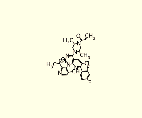 C=CC(=O)N1CC(C)N(c2nc(=O)n(-c3c(C)ccnc3C(C)C)c3nc(-c4ccc(F)cc4F)c(Cl)cc23)CC1C